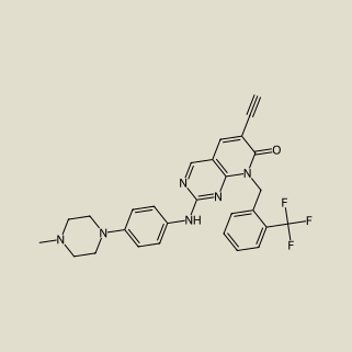 C#Cc1cc2cnc(Nc3ccc(N4CCN(C)CC4)cc3)nc2n(Cc2ccccc2C(F)(F)F)c1=O